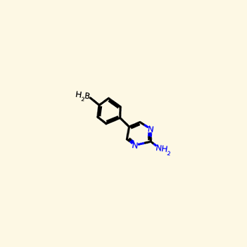 Bc1ccc(-c2cnc(N)nc2)cc1